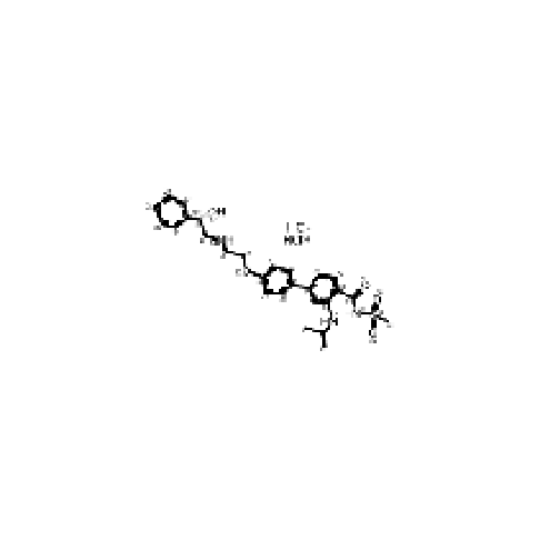 CC(C)Nc1cc(-c2ccc(OCCNC[C@@H](O)c3ccccc3)cc2)ccc1C(=O)NS(C)(=O)=O.Cl.Cl